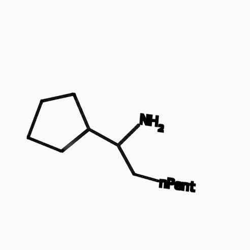 CCCCCCC(N)C1CCCC1